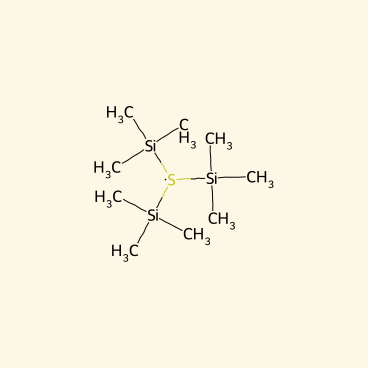 C[Si](C)(C)[S]([Si](C)(C)C)[Si](C)(C)C